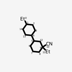 CCC1CCC(C2CCCC(C#N)(CC)C2)CC1